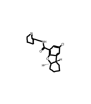 O=C(NC1CN2CCC1CC2)c1cc(Cl)cc2c1O[C@@H]1CCCC[C@@H]21